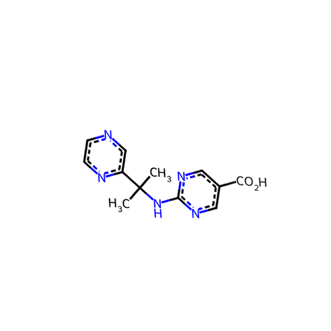 CC(C)(Nc1ncc(C(=O)O)cn1)c1cnccn1